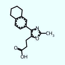 Cc1nc(-c2ccc3c(c2)CCCC3)c(CCC(=O)O)o1